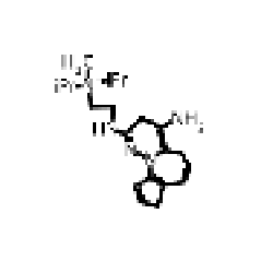 CC(C)[N+](C)(CCNC1=NN2C3=C(C=CCC2=C(N)C1)CC=C3)C(C)C